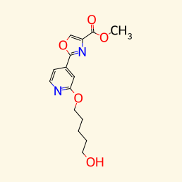 COC(=O)c1coc(-c2ccnc(OCCCCCO)c2)n1